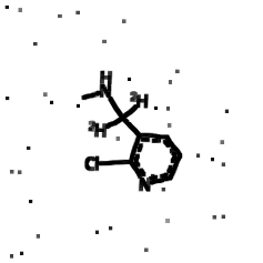 [2H]C([2H])(NC)c1cccnc1Cl